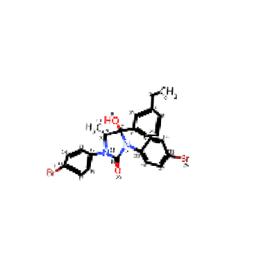 CCc1cccc(C2(O)[C@@H](C)N(c3ccc(Br)cc3)C(=O)N2c2ccc(Br)cc2)c1